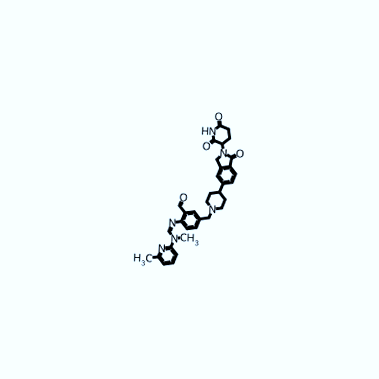 Cc1cccc(N(C)/C=N\c2ccc(CN3CCC(c4ccc5c(c4)CN(C4CCC(=O)NC4=O)C5=O)CC3)cc2C=O)n1